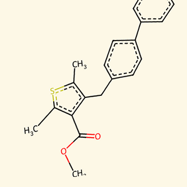 COC(=O)c1c(C)sc(C)c1Cc1ccc(-c2ccccc2)cc1